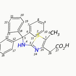 Cc1sc(NC(c2ccccc2)(c2ccccc2)c2ccccc2)nc1CC(=O)O